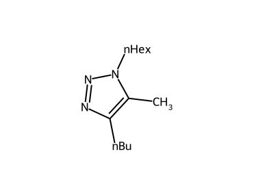 CCCCCCn1nnc(CCCC)c1C